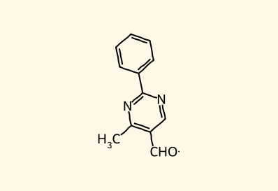 Cc1nc(-c2ccccc2)ncc1[C]=O